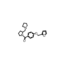 O=C(c1ccc(OCc2ccco2)cc1)N1CCCC1CN1CCCC1